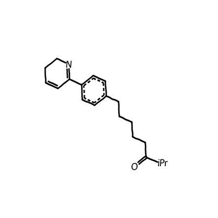 CC(C)C(=O)CCCCCc1ccc(C2=NCCC=C2)cc1